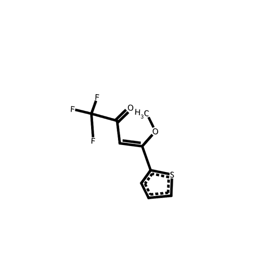 CO/C(=C\C(=O)C(F)(F)F)c1cccs1